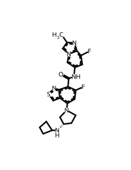 Cc1cn2cc(NC(=O)c3c(F)cc(N4CC[C@H](NC5CCC5)C4)c4csnc34)cc(F)c2n1